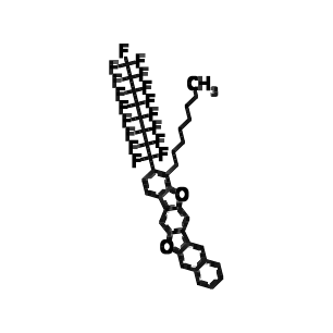 CCCCCCCCc1c(C(F)(F)C(F)(F)C(F)(F)C(F)(F)C(F)(F)C(F)(F)C(F)(F)C(F)(F)F)ccc2c1oc1cc3c(cc12)oc1cc2ccccc2cc13